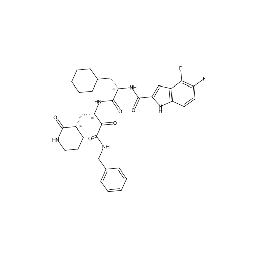 O=C(NCc1ccccc1)C(=O)[C@H](C[C@@H]1CCCNC1=O)NC(=O)[C@H](CC1CCCCC1)NC(=O)c1cc2c(F)c(F)ccc2[nH]1